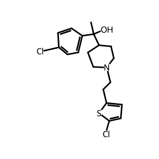 CC(O)(c1ccc(Cl)cc1)C1CCN(CCc2ccc(Cl)s2)CC1